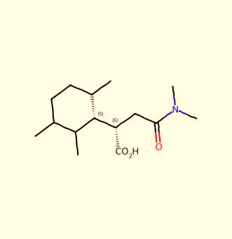 CC1CCC(C)[C@H]([C@H](CC(=O)N(C)C)C(=O)O)C1C